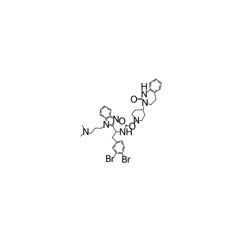 CN(C)CCCn1c(C(Cc2ccc(Br)c(Br)c2)NC(=O)ON2CCC(N3CCc4ccccc4NC3=O)CC2)nc2ccccc21